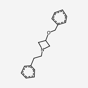 c1ccc(CCN2CC(OCc3ccccc3)C2)cc1